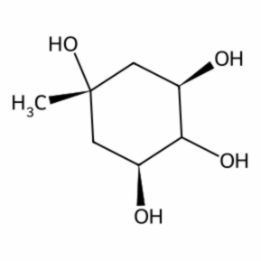 C[C@@]1(O)C[C@@H](O)C(O)[C@@H](O)C1